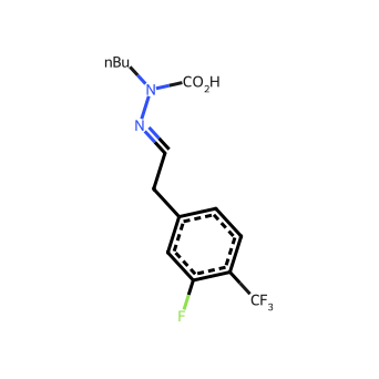 CCCCN(N=CCc1ccc(C(F)(F)F)c(F)c1)C(=O)O